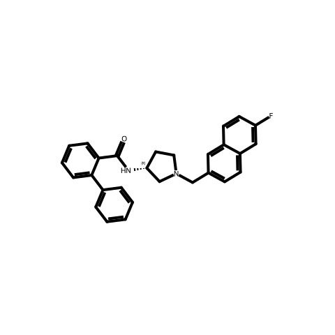 O=C(N[C@@H]1CCN(Cc2ccc3cc(F)ccc3c2)C1)c1ccccc1-c1ccccc1